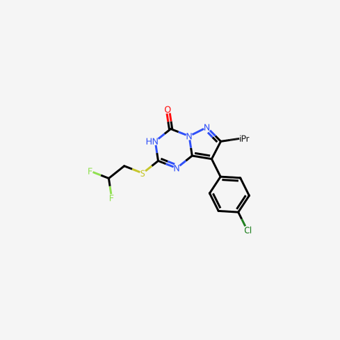 CC(C)c1nn2c(=O)[nH]c(SCC(F)F)nc2c1-c1ccc(Cl)cc1